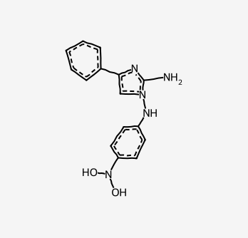 Nc1nc(-c2ccccc2)cn1Nc1ccc(N(O)O)cc1